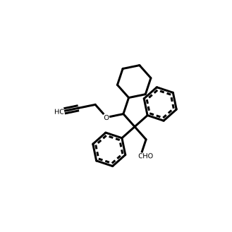 C#CCOC(C1CCCCC1)C(CC=O)(c1ccccc1)c1ccccc1